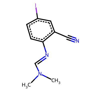 CN(C)/C=N/c1ccc(I)cc1C#N